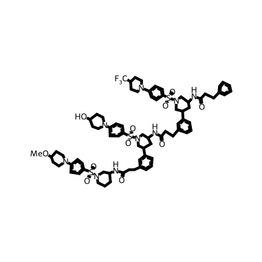 COC1CCN(c2ccc(S(=O)(=O)N3CCCC(NC(=O)CCc4cccc(C5CC(NC(=O)CCc6cccc(C7CC(NC(=O)CCc8ccccc8)CN(S(=O)(=O)c8ccc(N9CCC(C(F)(F)F)CC9)cc8)C7)c6)CN(S(=O)(=O)c6ccc(N7CCC(O)CC7)cc6)C5)c4)C3)cc2)CC1